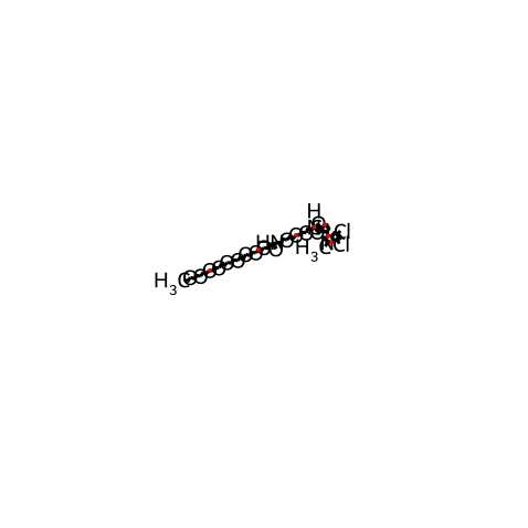 CCOCCOCCOCCOCCOCCOCCOCCOCCOCCC(=O)NCCOCCOCCOCCNS(=O)(=O)c1cccc(C2CN(C)Cc3c(Cl)cc(Cl)cc32)c1